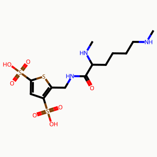 CNCCCCC(NC)C(=O)NCc1sc(S(=O)(=O)O)cc1S(=O)(=O)O